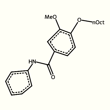 CCCCCCCCOc1ccc(C(=O)Nc2ccccc2)cc1OC